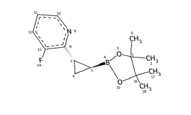 CC1(C)OB([C@H]2C[C@@H]2c2ncccc2F)OC1(C)C